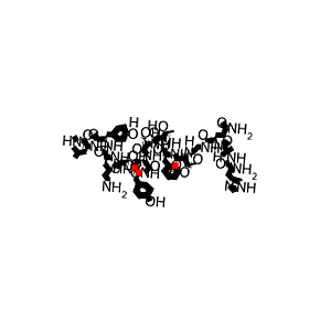 CNC(=O)[C@H](CC(C)C)NC(=O)[C@H](Cc1ccc(O)cc1)NC(=O)[C@H](CCCCN)NC(=O)[C@H](CO)NC(=O)[C@H](Cc1ccc(O)cc1)NC(=O)[C@H](CC(=O)O)NC(=O)[C@H](CO)NC(=O)[C@@H](NC(=O)[C@H](Cc1ccccc1)NC(=O)[C@@H](NC(=O)CNC(=O)[C@H](CCC(N)=O)NC(=O)C(C)(C)NC(=O)[C@@H](N)Cc1c[nH]cn1)[C@@H](C)O)[C@H](C)O